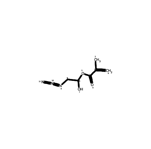 C=C(C)C(=O)OC(O)CN=[N+]=[N-]